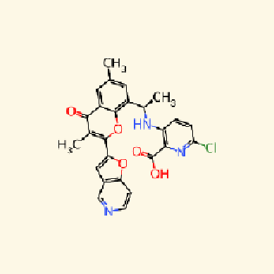 Cc1cc([C@@H](C)Nc2ccc(Cl)nc2C(=O)O)c2oc(-c3cc4cnccc4o3)c(C)c(=O)c2c1